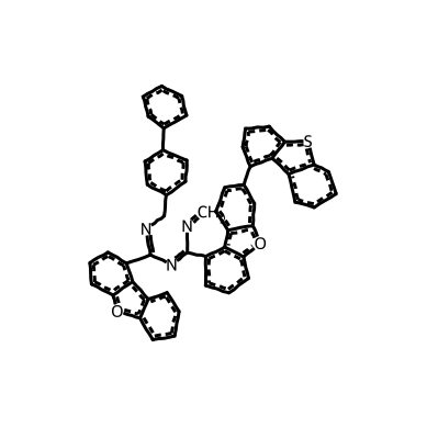 C=N/C(=N\C(=N/Cc1ccc(-c2ccccc2)cc1)c1cccc2oc3ccccc3c12)c1cccc2oc3cc(-c4cccc5sc6ccccc6c45)ccc3c12